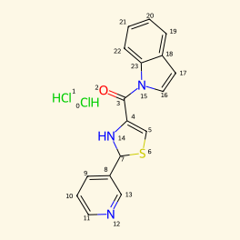 Cl.Cl.O=C(C1=CSC(c2cccnc2)N1)n1ccc2ccccc21